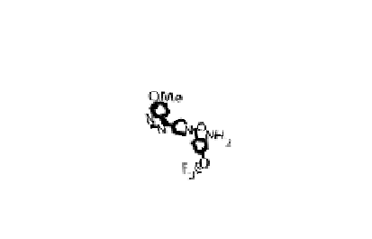 COc1ccc2c(C3CCN(C(=O)c4ccc(OC(F)(F)F)cc4N)CC3)ncnc2c1